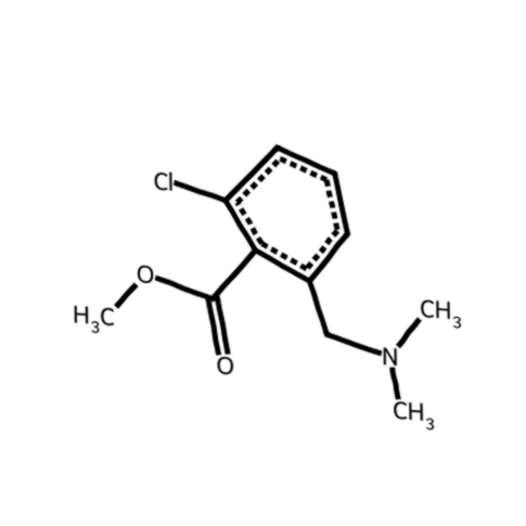 COC(=O)c1c(Cl)cccc1CN(C)C